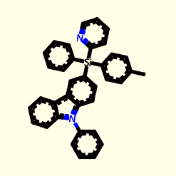 Cc1ccc([Si](c2ccccc2)(c2ccc3c(c2)c2ccccc2n3-c2ccccc2)c2ccccn2)cc1